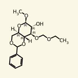 CCOCO[C@@H]1[C@@H](O)[C@H](OC)O[C@@H]2COC(c3ccccc3)O[C@@H]12